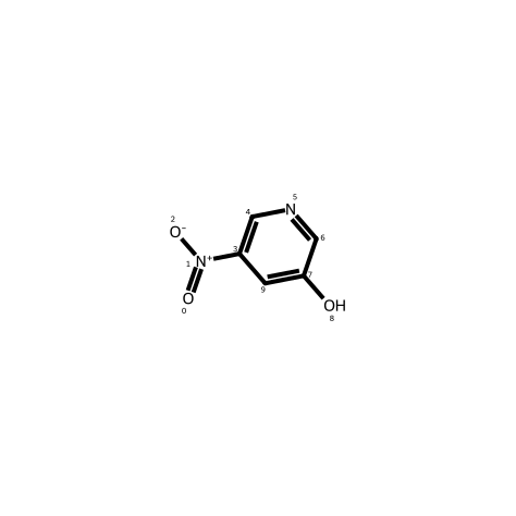 O=[N+]([O-])c1cncc(O)c1